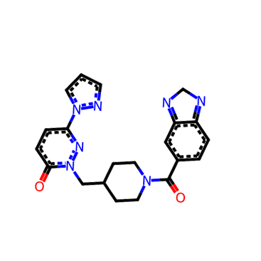 O=C(c1ccc2c(c1)=NCN=2)N1CCC(Cn2nc(-n3cccn3)ccc2=O)CC1